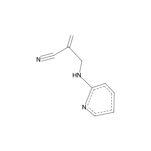 C=C(C#N)CNc1ccccn1